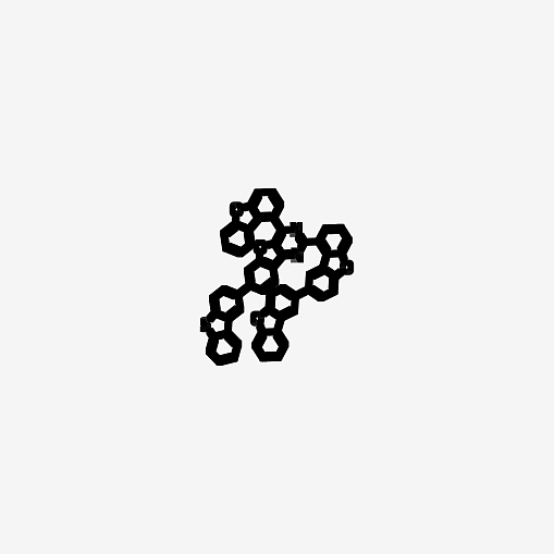 c1ccc2c(c1)oc1ccc(-c3ccc4oc5cccc(-c6nc(-c7cccc8oc9ccccc9c78)c7oc8cc(-c9ccc%10sc%11ccccc%11c%10c9)ccc8c7n6)c5c4c3)cc12